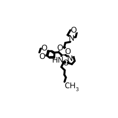 CCCCCCC(=O)N[C@H](CN1CCCC1)[C@H](OC(=O)CCN1CCOCC1)c1ccc2c(c1)OCCO2